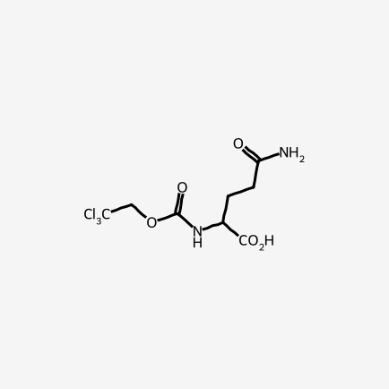 NC(=O)CCC(NC(=O)OCC(Cl)(Cl)Cl)C(=O)O